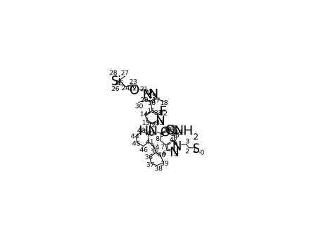 CSCCn1ncc([C@@H](C(=O)Nc2ccc(-c3c(C)nn(COCC[Si](C)(C)C)c3C)c(F)n2)C(C2CCCCC2)C2CCCCC2)c1C(N)=O